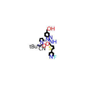 CC(C)(C)/C=C(\C#N)C(=O)N1CCC[C@@H]1Cn1c(NC(=O)c2ccc(-c3ccnc(F)c3)s2)nc2cc(CO)ccc21